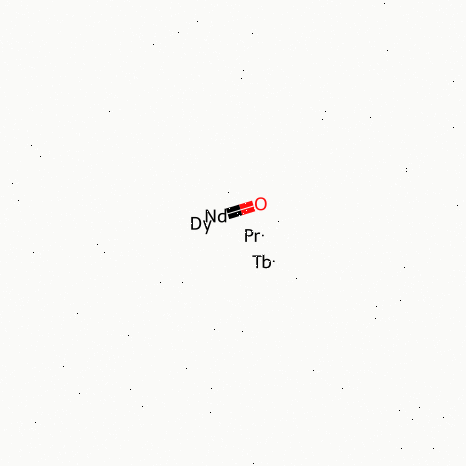 [Dy].[O]=[Nd].[Pr].[Tb]